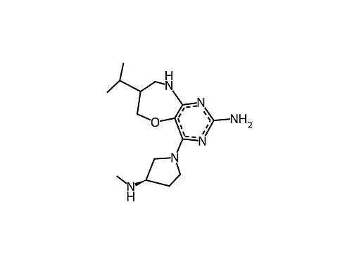 CN[C@@H]1CCN(c2nc(N)nc3c2OCC(C(C)C)CN3)C1